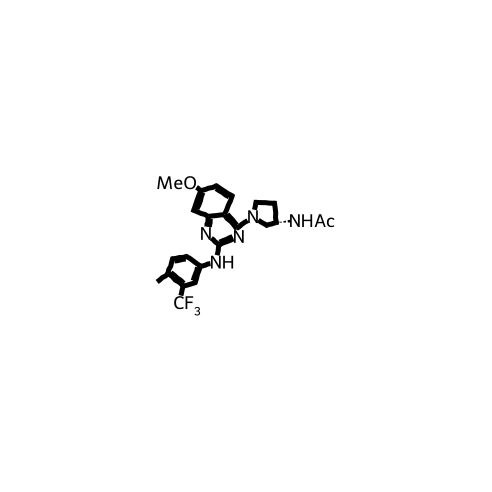 COc1ccc2c(N3CC[C@H](NC(C)=O)C3)nc(Nc3ccc(C)c(C(F)(F)F)c3)nc2c1